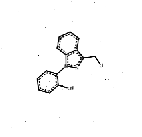 N#Cc1ccccc1-n1nc(CCl)c2ccccc21